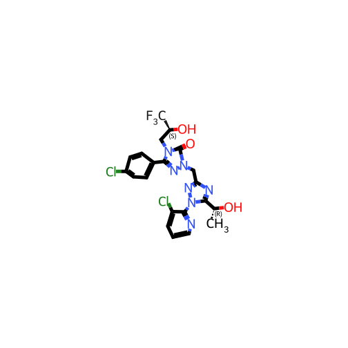 C[C@@H](O)c1nc(Cn2nc(-c3ccc(Cl)cc3)n(C[C@H](O)C(F)(F)F)c2=O)nn1-c1ncccc1Cl